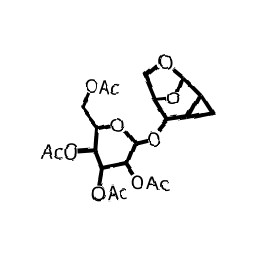 CC(=O)OCC1OC(OC2C3COC(O3)C3CC32)C(OC(C)=O)C(OC(C)=O)C1OC(C)=O